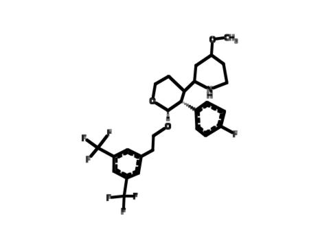 COC1CCNC(C2CCO[C@@H](OCCc3cc(C(F)(F)F)cc(C(F)(F)F)c3)[C@H]2c2ccc(F)cc2)C1